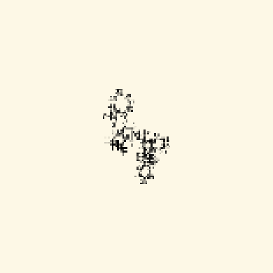 CN(CCCCN(Cc1cccnc1F)Cc1cn(S(=O)(=O)c2ccccc2)c2ccccc12)C1CCCCCCC1